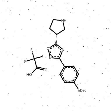 CCCCCCCCCCc1ccc(-c2noc([C@@H]3CCNC3)n2)cc1.O=C(O)C(F)(F)F